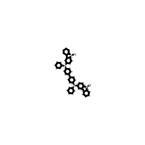 CCn1c2ccccc2c2cc(N(c3ccccc3)c3ccc(-c4ccc(N(c5ccccc5)c5ccc6c(c5)c5ccccc5n6CC)cc4)cc3)ccc21